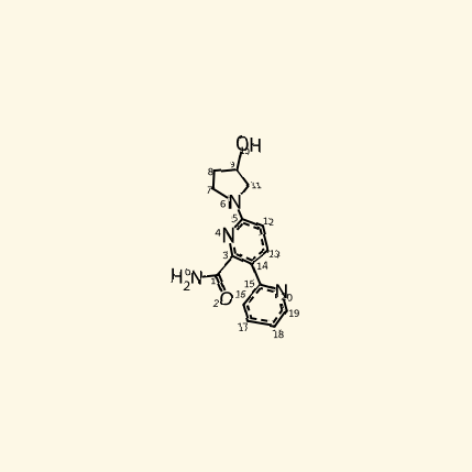 NC(=O)c1nc(N2CCC(O)C2)ccc1-c1ccccn1